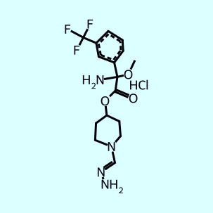 COC(N)(C(=O)OC1CCN(C=NN)CC1)c1cccc(C(F)(F)F)c1.Cl